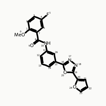 COc1ccc(F)cc1C(=O)Nc1cccc(-c2nnc(-c3ccco3)o2)c1